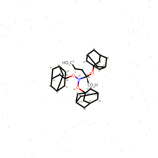 O=C(O)CC[C@@](OC12CC3CC(CC(C3)C1)C2)(C(=O)O)N(OC12CC3CC(CC(C3)C1)C2)OC12CC3CC(CC(C3)C1)C2